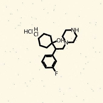 Cl.Cl.OC1(C(CN2CCNCC2)c2cccc(F)c2)CCCCC1